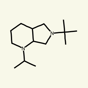 CC(C)N1CCCC2CN(C(C)(C)C)CC21